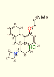 CNCCOc1ccc2c(c1)C(Cc1ccccc1)C(N1CCC1)CC2.Cl